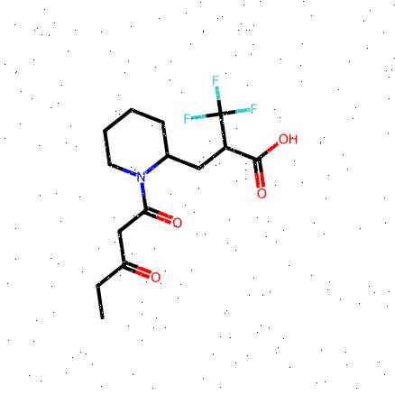 CCC(=O)CC(=O)N1CCCCC1CC(C(=O)O)C(F)(F)F